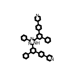 c1ccc(C2=NC(c3cc(-c4ccccc4)cc(-c4ccc(-c5ccncc5)cc4)c3)NC(c3cc(-c4ccccc4)cc(-c4ccc(-c5ccncc5)cc4)c3)=N2)cc1